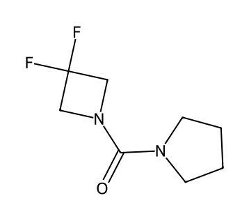 O=C(N1CCCC1)N1CC(F)(F)C1